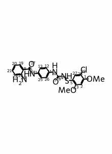 COc1cc(OC)c(SNC(=O)Nc2ccc(NC(=O)c3ccccc3N)cc2)cc1Cl